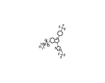 CNS(=O)(=O)c1ccc2c(c1)c(-c1cn(CC(F)(F)F)cn1)cn2-c1ccc(C(F)(F)F)cc1